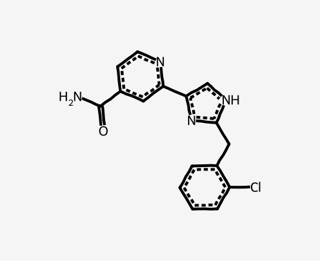 NC(=O)c1ccnc(-c2c[nH]c(Cc3ccccc3Cl)n2)c1